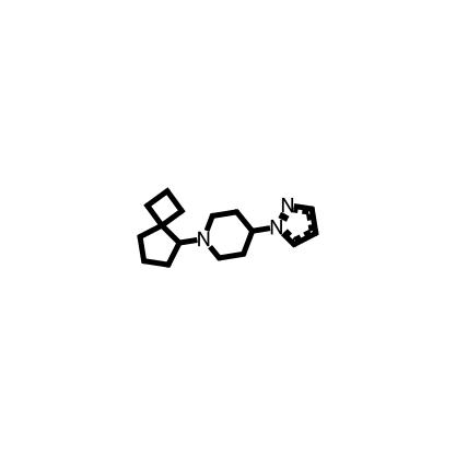 c1cnn(C2CCN(C3CCCC34CCC4)CC2)c1